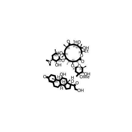 CC[C@H]1OC(=O)[C@H](C)[C@@H](O[C@H]2C[C@@](C)(OC)[C@@H](O)[C@H](C)O2)[C@H](C)[C@@H](O[C@@H]2O[C@H](C)C[C@H](N(C)C)[C@H]2O)[C@](C)(O)C[C@@H](C)C(=O)[C@H](C)[C@@H](O)[C@]1(C)O.C[C@]12CCC(=O)C=C1CC[C@@H]1[C@@H]2[C@@H](O)C[C@@]2(C)[C@H]1CC[C@]2(O)C(=O)CO